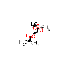 C=C(C)C(=O)OCCC(OC)(OC)O[SiH3]